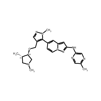 Cc1cnc(Nc2cc3cc(-c4c(CO[C@H]5CN(C)C[C@@H]5C)cnn4C)ccn3n2)cn1